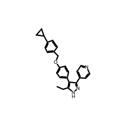 CCc1[nH]nc(-c2ccncc2)c1-c1ccc(OCc2ccc(C3CC3)cc2)cc1